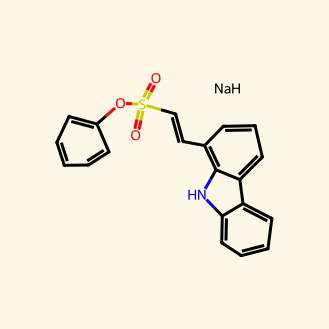 O=S(=O)(C=Cc1cccc2c1[nH]c1ccccc12)Oc1ccccc1.[NaH]